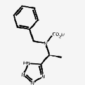 C[C@@H](c1nnn[nH]1)N(Cc1ccccc1)C(=O)O